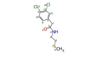 CSCCNC(=O)Cc1ccc(Cl)c(Cl)c1